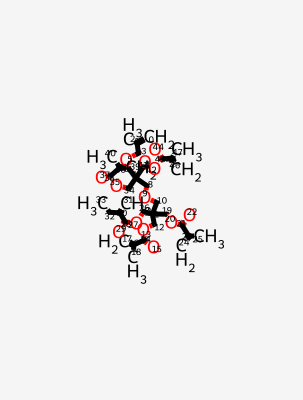 C=C(C)C(=O)OCC(COCC(COC(=O)C(=C)C)(COC(=O)C(=C)C)COC(=O)C(=C)CC)(COC(=O)C(=C)C)COC(=O)C(=C)C